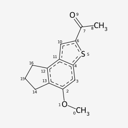 COc1cc2sc(C(C)=O)cc2c2c1CCC2